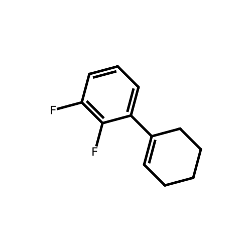 Fc1cccc(C2=CCCCC2)c1F